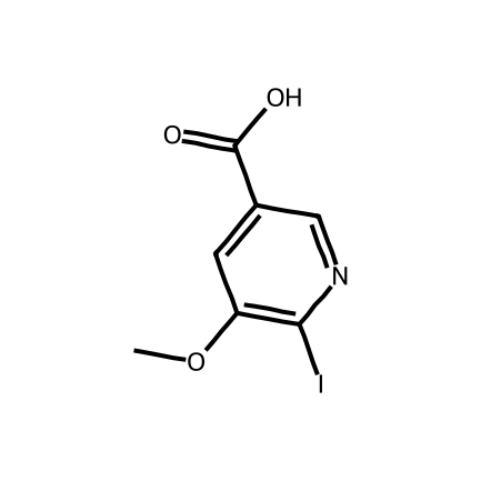 COc1cc(C(=O)O)cnc1I